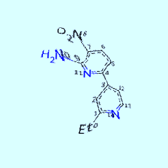 CCc1cc(-c2ccc([N+](=O)[O-])c(N)n2)ccn1